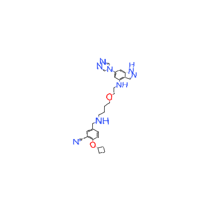 N#Cc1cc(CNCCCCOCCNc2cc(-n3cnnc3)cc3[nH]ncc23)ccc1OC1CCC1